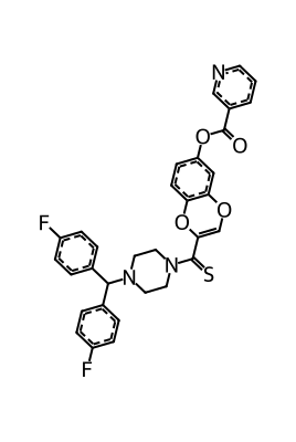 O=C(Oc1ccc2c(c1)OC=C(C(=S)N1CCN(C(c3ccc(F)cc3)c3ccc(F)cc3)CC1)O2)c1cccnc1